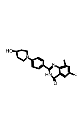 Cc1cc(F)cc2c(=O)[nH]c(-c3ccc(N4CCC(O)CC4)cc3)nc12